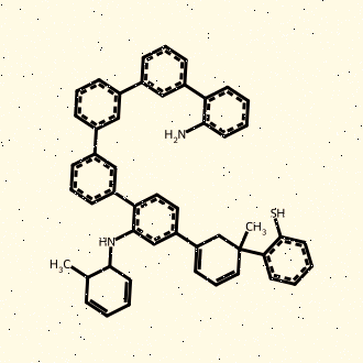 CC1C=CC=CC1Nc1cc(C2=CC=CC(C)(c3ccccc3S)C2)ccc1-c1cccc(-c2cccc(-c3cccc(-c4ccccc4N)c3)c2)c1